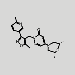 Cc1ccc(-c2noc(C)c2Cn2ncc(N3C[C@@H](C)O[C@@H](C)C3)cc2=O)cn1